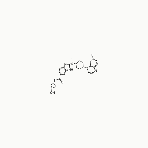 C[C@@H](c1nc2ccc(C(=O)OC3CC(O)C3)cc2[nH]1)C1CCC(c2ccnc3ccc(F)cc23)CC1